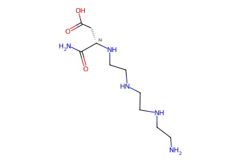 NCCNCCNCCN[C@@H](CC(=O)O)C(N)=O